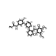 C=CC(=O)Nc1ccc(F)c(-c2cc(-c3cccnc3Nc3c(Cl)c(OC)cc(OC)c3Cl)ncn2)c1